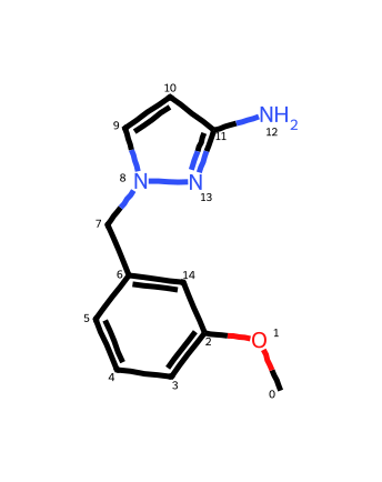 COc1cccc(Cn2ccc(N)n2)c1